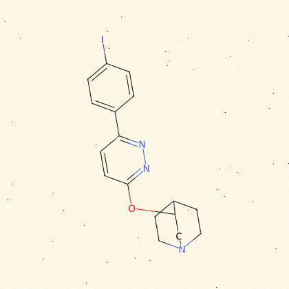 Ic1ccc(-c2ccc(OC3CN4CCC3CC4)nn2)cc1